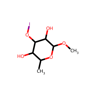 COC1OC(C)C(O)C(OI)C1O